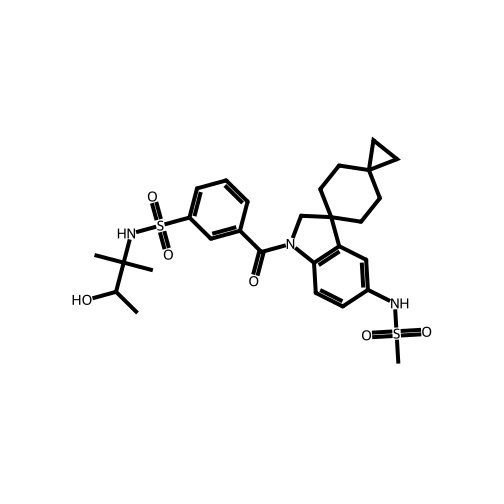 CC(O)C(C)(C)NS(=O)(=O)c1cccc(C(=O)N2CC3(CCC4(CC4)CC3)c3cc(NS(C)(=O)=O)ccc32)c1